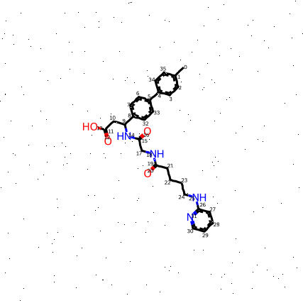 Cc1ccc(-c2ccc(C(CC(=O)O)NC(=O)CNC(=O)CCCCNc3ccccn3)cc2)cc1